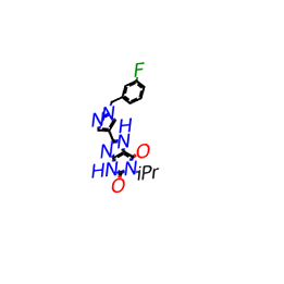 CC(C)n1c(=O)[nH]c2nc(-c3cnn(Cc4cccc(F)c4)c3)[nH]c2c1=O